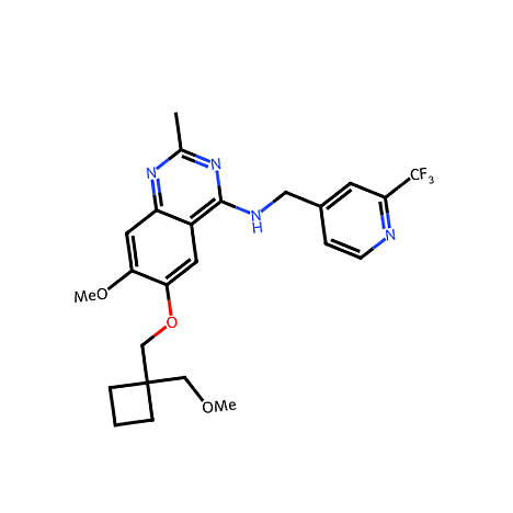 COCC1(COc2cc3c(NCc4ccnc(C(F)(F)F)c4)nc(C)nc3cc2OC)CCC1